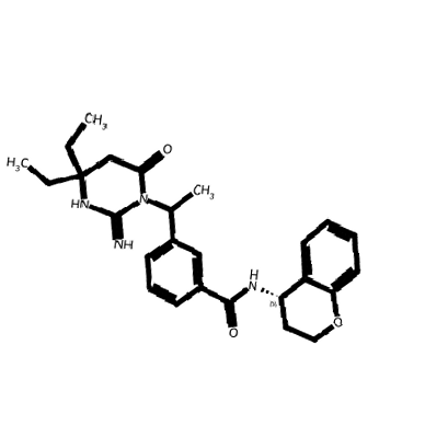 CCC1(CC)CC(=O)N(C(C)c2cccc(C(=O)N[C@H]3CCOc4ccccc43)c2)C(=N)N1